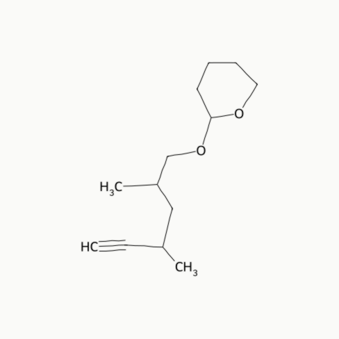 C#CC(C)CC(C)COC1CCCCO1